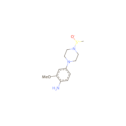 COc1cc(N2CCN([S+](C)[O-])CC2)ccc1N